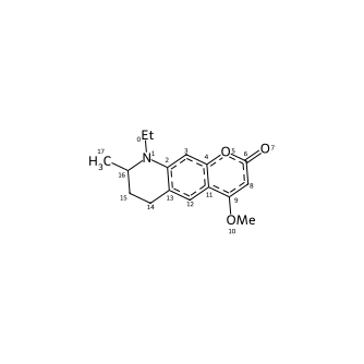 CCN1c2cc3oc(=O)cc(OC)c3cc2CCC1C